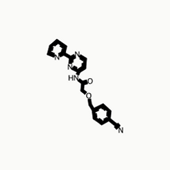 N#Cc1ccc(COCC(=O)Nc2ccnc(-c3ccccn3)n2)cc1